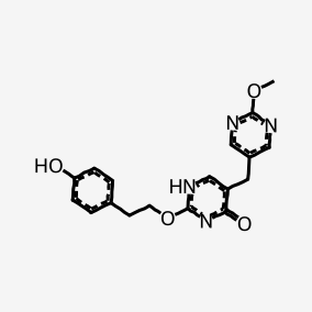 COc1ncc(Cc2c[nH]c(OCCc3ccc(O)cc3)nc2=O)cn1